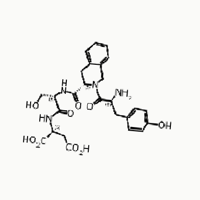 N[C@@H](Cc1ccc(O)cc1)C(=O)N1Cc2ccccc2C[C@H]1C(=O)N[C@@H](CO)C(=O)N[C@@H](CC(=O)O)C(=O)O